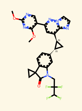 COc1ncc(-c2cc([C@H]3C[C@@H]3c3ccc4c(c3)N(CC(F)(F)C(F)F)C(=O)C43CC3)c3nccn3n2)c(OC)n1